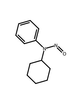 O=NN(c1ccccc1)C1CCCCC1